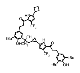 CC(C)(C)c1cc(CCC(=O)c2[nH]c(C3CC3CC(C)(C)c3cc(CCC(=O)c4[nH]c(C5CCC5)cc4C(F)(F)F)cc(C(C)(C)C)c3O)cc2C(F)(F)F)cc(C(C)(C)C)c1O